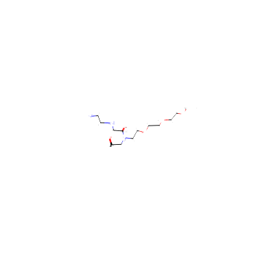 COCCOCCOCCN(CC(C)=O)C(=O)CNCCN